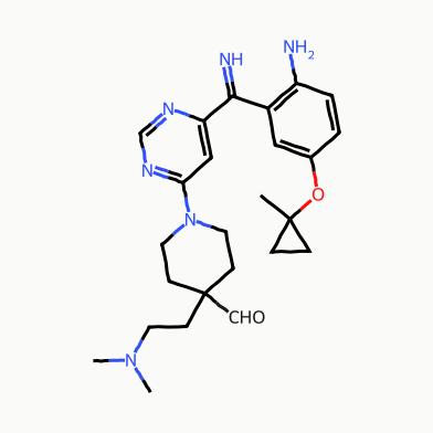 CN(C)CCC1(C=O)CCN(c2cc(C(=N)c3cc(OC4(C)CC4)ccc3N)ncn2)CC1